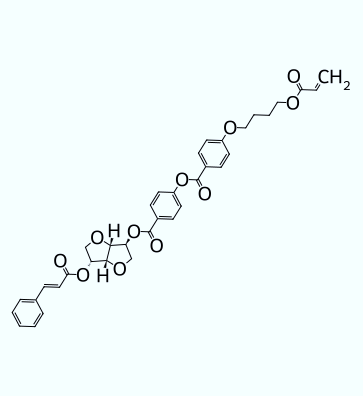 C=CC(=O)OCCCCOc1ccc(C(=O)Oc2ccc(C(=O)O[C@H]3CO[C@H]4[C@@H]3OC[C@H]4OC(=O)/C=C/c3ccccc3)cc2)cc1